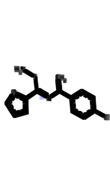 C=C(/N=C(\SN)c1ccco1)c1ccc(Cl)cc1